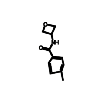 Cc1ccc(C(=O)NC2COC2)cc1